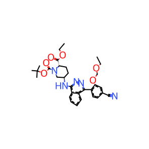 CCOCOc1cc(C#N)ccc1-c1nnc(N[C@@H]2CC[C@@H](C(=O)OCC)N(C(=O)OC(C)(C)C)C2)c2ccccc12